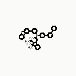 C=CC1=C(/C=C(\C)N(c2ccc(-c3cccc(-c4ccccc4)c3)cc2)c2cccc(-c3ccc4sc5ccccc5c4c3)c2)c2ccccc2C1(C)C